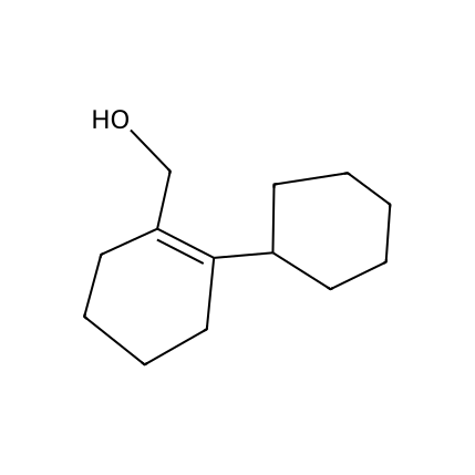 OCC1=C(C2CCCCC2)CCCC1